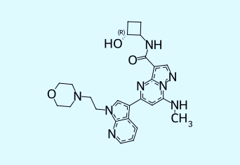 CNc1cc(-c2cn(CCN3CCOCC3)c3ncccc23)nc2c(C(=O)NC3CC[C@H]3O)cnn12